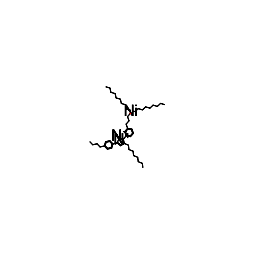 CCCCCCCCC1=C(c2cccc(CCCC)c2)[N+](=[N-])C(c2ccc(CCCC)cc2)=C1.CCCCCCCC[CH2][Ni][CH2]CCCCCCCC